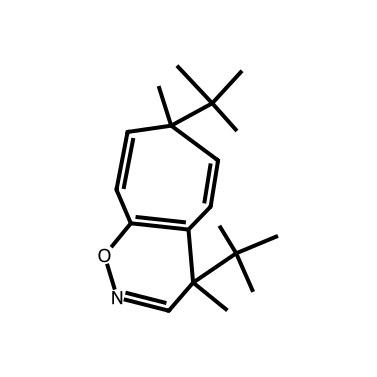 CC(C)(C)C1(C)C=CC2=C(C=C1)C(C)(C(C)(C)C)C=NO2